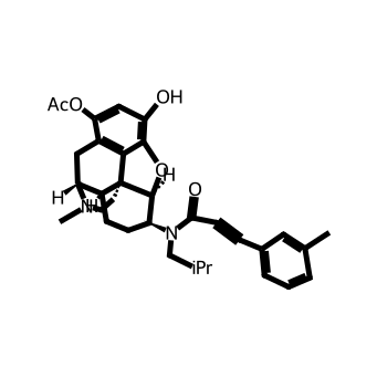 CC(=O)Oc1cc(O)c2c3c1C[C@@H]1[C@@H]4CC[C@H](N(CC(C)C)C(=O)C#Cc5cccc(C)c5)[C@H](O2)[C@]34CCN1C